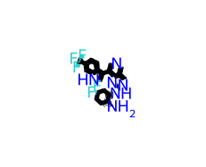 N[C@H]1CCC(F)(F)C[C@H]1Nc1ncc2cncc(-c3c[nH]c4cc(C(F)(F)F)ccc34)c2n1